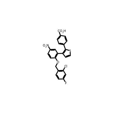 O=C(O)c1ccc(-c2sccc2-c2cc([N+](=O)[O-])ccc2OCc2ccc(F)cc2Cl)cc1